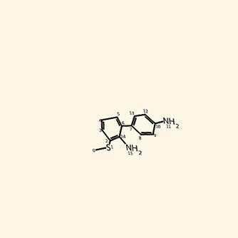 CSc1cccc(-c2ccc(N)cc2)c1N